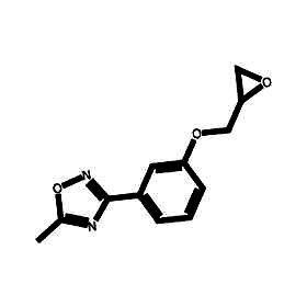 Cc1nc(-c2cccc(OCC3CO3)c2)no1